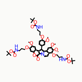 COc1cc(-c2c3c4cc(OC)c(OCCCNC(=O)OC(C)(C)C)cc4oc(=O)c3n3ccc4c(OCCCNC(=O)OC(C)(C)C)c(OC)c(OC)cc4c23)ccc1OCCCNC(=O)OC(C)(C)C